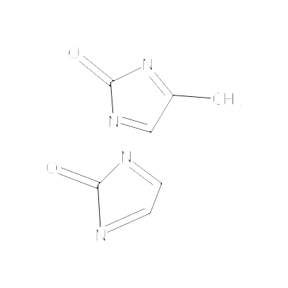 CC1=NC(=O)N=C1.O=C1N=CC=N1